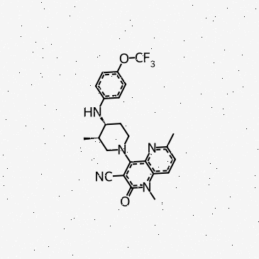 Cc1ccc2c(n1)c(N1CC[C@H](Nc3ccc(OC(F)(F)F)cc3)[C@H](C)C1)c(C#N)c(=O)n2C